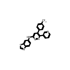 FC(F)(F)c1ccc(-c2cc(Nc3ccc4ncsc4c3)nnc2-c2cccnc2)cc1